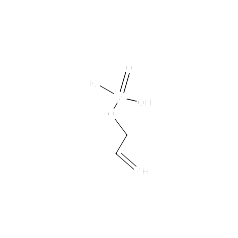 C=CC[O][Sb](=[O])([OH])[OH]